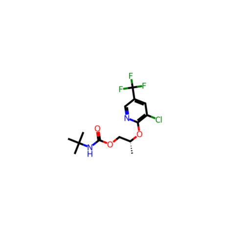 C[C@H](COC(=O)NC(C)(C)C)Oc1ncc(C(F)(F)F)cc1Cl